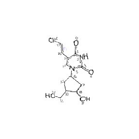 O=c1[nH]c(=O)n(C2CC(O)C(CO)C2)cc1/C=C/Cl